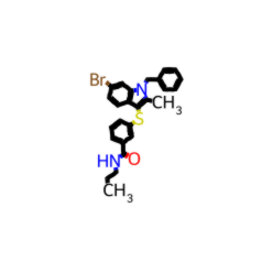 CCCNC(=O)c1cccc(Sc2c(C)n(Cc3ccccc3)c3cc(Br)ccc23)c1